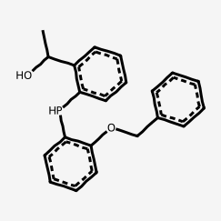 CC(O)c1ccccc1Pc1ccccc1OCc1ccccc1